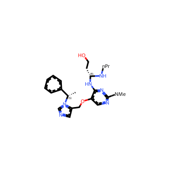 CCCN[C@@H](CCO)Nc1nc(NC)ncc1OCc1cncn1[C@@H](C)c1ccccc1